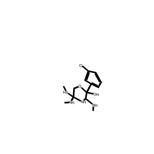 CNC1NC(NC)(NC)COC1(O)c1cccc(Cl)c1